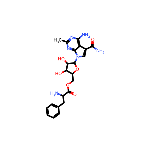 Cc1nc(N)c2c(C(N)=O)cn(C3OC(COC(=O)C(N)Cc4ccccc4)C(O)C3O)c2n1